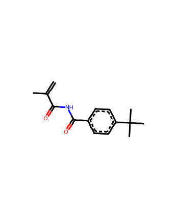 C=C(C)C(=O)NC(=O)c1ccc(C(C)(C)C)cc1